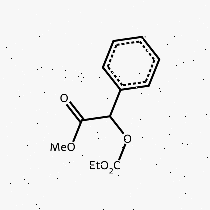 CCOC(=O)OC(C(=O)OC)c1cc[c]cc1